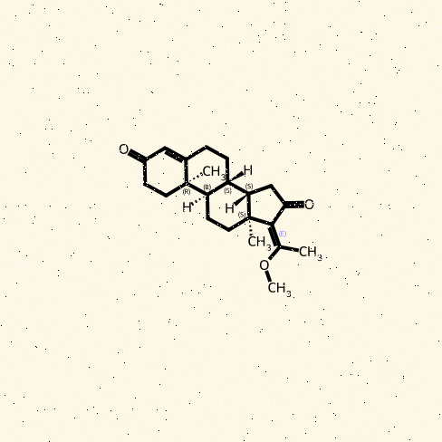 CO/C(C)=C1/C(=O)C[C@H]2[C@H]3CCC4=CC(=O)CC[C@]4(C)[C@@H]3CC[C@]12C